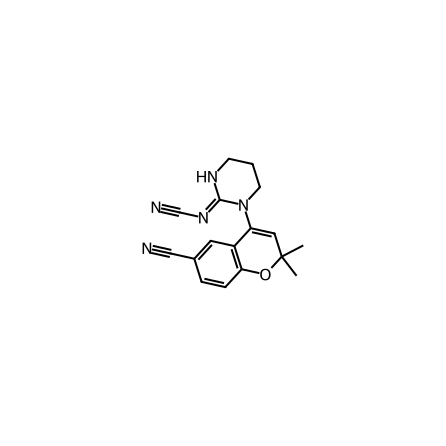 CC1(C)C=C(N2CCCNC2=NC#N)c2cc(C#N)ccc2O1